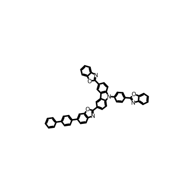 c1ccc(-c2ccc(-c3ccc4nc(-c5ccc6c(c5)c5cc(-c7nc8ccccc8o7)ccc5n6-c5ccc(-c6nc7ccccc7o6)cc5)oc4c3)cc2)cc1